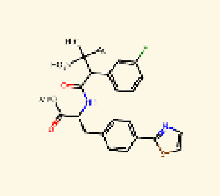 COC(=O)[C@H](Cc1ccc(-c2nccs2)cc1)NC(=O)C(c1cccc(F)c1)C(C)(C(C)=O)S(=O)(=O)O